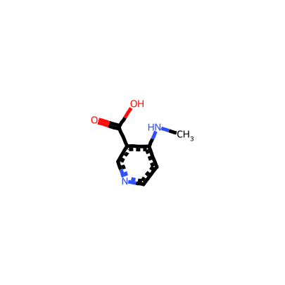 CNc1ccncc1C(=O)O